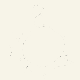 CC(=O)[C@@H]1[C@H](C)[C@@H]2CN1C(=O)[C@H](C(C)(C)C)NC(=O)O[C@@H]1CC3CC3[C@H]1CCCCCc1nc3ccccc3nc1O2